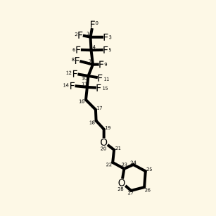 FC(F)(F)C(F)(F)C(F)(F)C(F)(F)C(F)(F)CCCCOCCC1CCCCO1